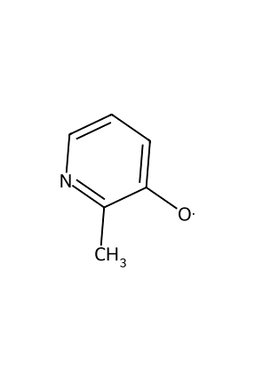 Cc1ncccc1[O]